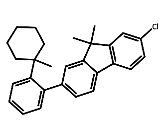 CC1(c2ccccc2-c2ccc3c(c2)C(C)(C)c2cc(Cl)ccc2-3)CCCCC1